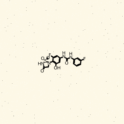 O=C1CN(c2c(O)cc(NC(=O)Nc3cccc(F)c3)cc2F)S(=O)(=O)N1